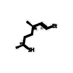 CC/C=C/[C@H](C)CC[C@H](C)S